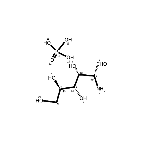 N[C@@H](C=O)[C@@H](O)[C@H](O)[C@H](O)CO.O=P(O)(O)O